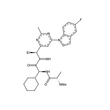 CC[C@H](C(=N)C(=O)[C@@H](NC(=O)[C@H](C)NC)C1CCCCC1)c1cc(-n2ccc3cc(F)ccc32)nc(C)n1